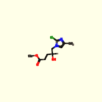 CC(O)(CCC(=O)OC(C)(C)C)Cn1cc([N+](=O)[O-])nc1Cl